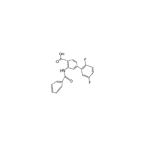 O=C(Nc1cc(-c2cc(F)ccc2F)ccc1C(=O)O)c1ccccc1